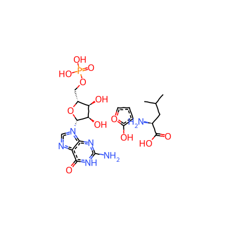 CC(C)C[C@H](N)C(=O)O.Nc1nc2c(ncn2[C@@H]2O[C@H](COP(=O)(O)O)[C@@H](O)[C@H]2O)c(=O)[nH]1.Oc1ccco1